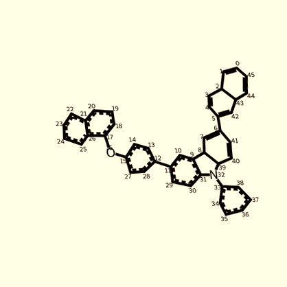 C1=CC2C=CC(C3=CC4c5cc(-c6ccc(Oc7cccc8ccccc78)cc6)ccc5N(c5ccccc5)C4C=C3)=CC2C=C1